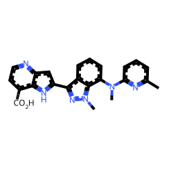 Cc1cccc(N(C)c2cccc3c(-c4cc5nccc(C(=O)O)c5[nH]4)nn(C)c23)n1